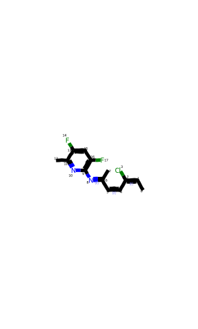 C\C=C(Cl)/C=C\C(C)=N\c1nc(C)c(F)cc1F